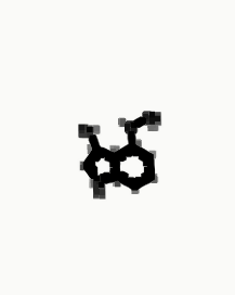 CCc1c[nH]c2cccc(OS)c12